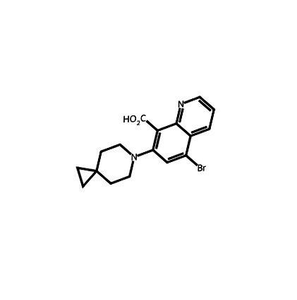 O=C(O)c1c(N2CCC3(CC2)CC3)cc(Br)c2cccnc12